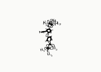 CC(C)(C)OC(=O)N1CC[C@@H](Oc2ccc(B3OC(C)(C)C(C)(C)O3)cc2C#N)C1